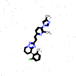 Cc1cn(-c2ccc(/C=C/c3nc4n(n3)CCC[C@@H]4c3c(F)cccc3C(F)(F)F)nc2C)cn1